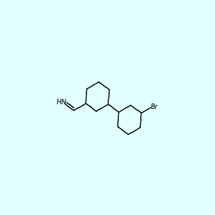 N=CC1CCCC(C2CCCC(Br)C2)C1